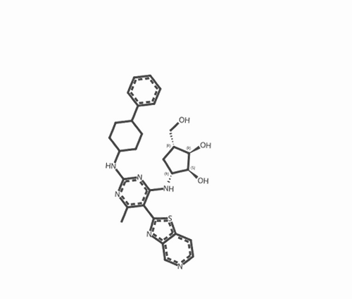 Cc1nc(NC2CCC(c3ccccc3)CC2)nc(N[C@@H]2C[C@H](CO)[C@@H](O)[C@H]2O)c1-c1nc2cnccc2s1